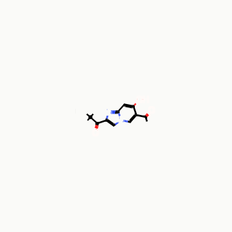 CC(=O)c1cn2cc(C(=O)C(C)(C)C)nc2cc1O